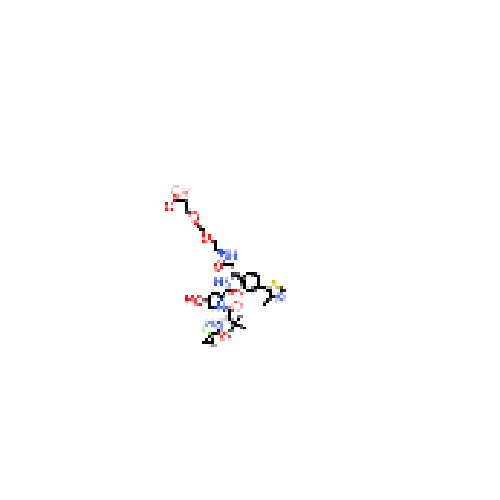 Cc1ncsc1-c1ccc([C@H](CC(=O)NCCOCCOCCC(=O)O)NC(=O)[C@@H]2C[C@@H](O)CN2C(=O)[C@@H](NC(=O)C2(F)CC2)C(C)(C)C)cc1